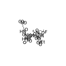 CC[C@H]1C(=O)OCc2c1cc1n(c2=O)Cc2c-1nc1cc(F)c(C)c3c1c2[C@@H](NC(=O)C(OCNC(=O)CNC(=O)[C@H](Cc1ccccc1)NC(=O)CNC(=O)CNC(=O)CCCCCN1C(=O)C=CC1=O)C1CC1)CC3